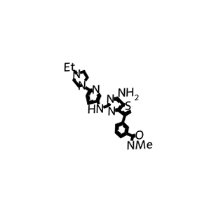 CCN1CCN(c2ccc(Nc3nc(N)c4scc(-c5cccc(C(=O)NC)c5)c4n3)cn2)CC1